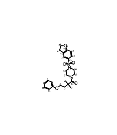 CC(C)(CCOc1ccccc1)C(=O)N1CCN(S(=O)(=O)c2ccc3c(c2)CCO3)CC1